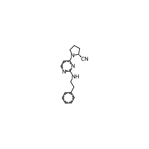 N#C[C@@H]1CCCN1c1ccnc(NCCc2ccccc2)n1